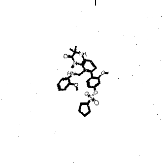 COc1ccccc1NCc1c(-c2ccc(OS(=O)(=O)C3CCCC3)cc2OC)ccc2c1N(C)C(=O)C(C)(C)N2